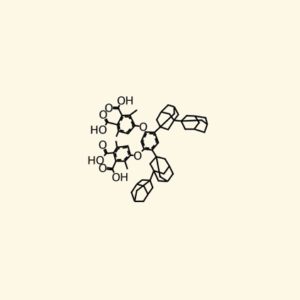 Cc1cc(Oc2cc(Oc3cc(C)c(C(=O)O)c(C(=O)O)c3C)c(C34CC5CC(C3)CC(C36CC7CC(CC(C7)C3)C6)(C5)C4)cc2C23CC4CC(C2)CC(C25CC6CC(CC(C6)C2)C5)(C4)C3)c(C)c(C(=O)O)c1C(=O)O